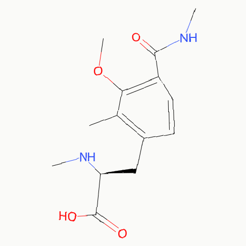 CNC(=O)c1ccc(C[C@H](NC)C(=O)O)c(C)c1OC